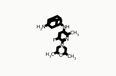 Cc1nc(N2CC(C)OC(C)C2)c(F)cc1NC1C2CC3CC1CC(N)(C3)C2